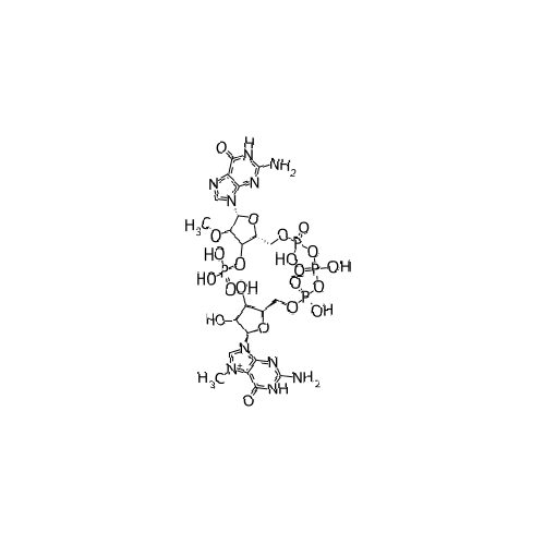 COC1C(OP(=O)(O)O)[C@@H](COP(=O)(O)OP(=O)(O)OP(=O)(O)OC[C@H]2O[C@@H](n3c[n+](C)c4c(=O)[nH]c(N)nc43)C(O)C2O)O[C@H]1n1cnc2c(=O)[nH]c(N)nc21